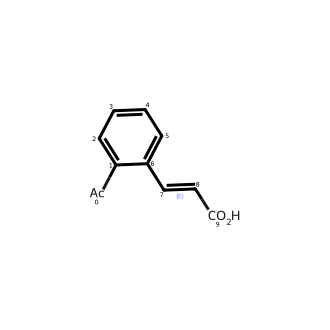 CC(=O)c1ccccc1/C=C/C(=O)O